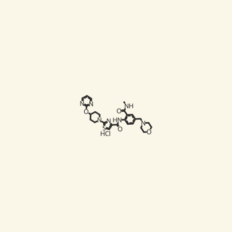 CNC(=O)c1cc(CN2CCOCC2)ccc1NC(=O)c1csc(N2CCC(Oc3ncccn3)CC2)n1.Cl